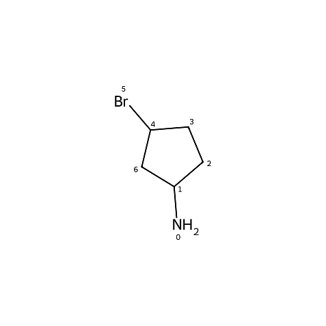 NC1CCC(Br)C1